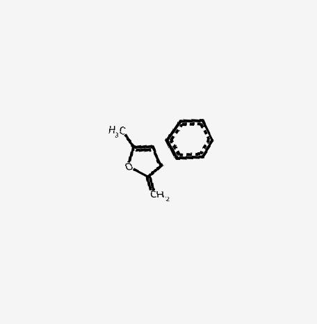 C=C1CC=C(C)O1.c1ccccc1